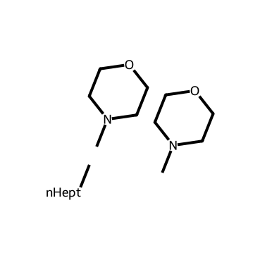 CCCCCCCC.CN1CCOCC1.CN1CCOCC1